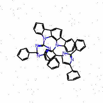 c1ccc(-c2cc(-c3ccccc3-n3c4ccccc4c4ccc5c6ccccc6n(-c6nc(-c7ccccc7)nc(-c7ccccc7)n6)c5c43)nc(-c3ccccc3)n2)cc1